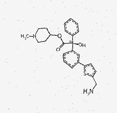 CN1CCC(OC(=O)[C@](O)(c2ccccc2)c2cccc(-c3ccc(CN)s3)c2)CC1